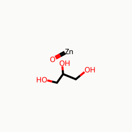 OCC(O)CO.[O]=[Zn]